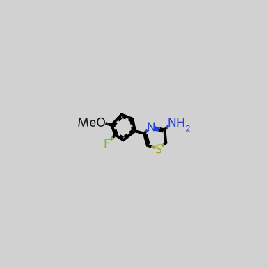 COc1ccc(C2=CSCC(N)=N2)cc1F